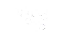 Cc1cc(-c2ncc(Cl)n2C)c2cccc(OCc3c(Cl)ccnc3Cn3cccc(C(F)(F)F)c3=O)c2n1